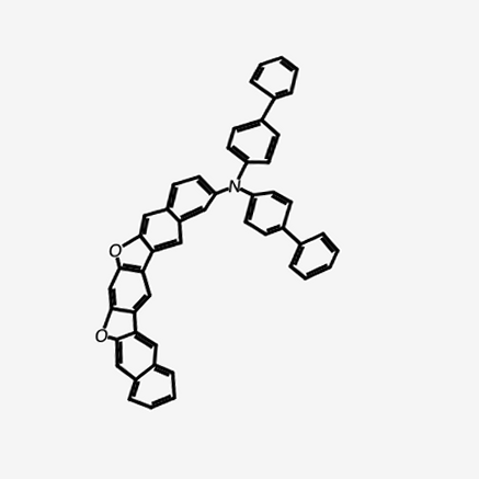 c1ccc(-c2ccc(N(c3ccc(-c4ccccc4)cc3)c3ccc4cc5oc6cc7oc8cc9ccccc9cc8c7cc6c5cc4c3)cc2)cc1